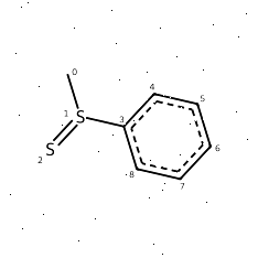 CS(=S)c1ccccc1